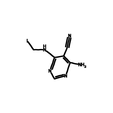 N#Cc1c(N)ncnc1NCI